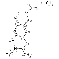 [CH2]C(Cc1ccc2ccc(OCCC)cc2c1)N(C)O